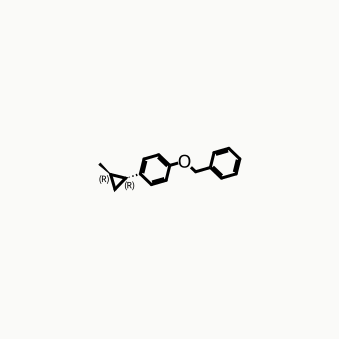 C[C@@H]1C[C@H]1c1ccc(OCc2ccccc2)cc1